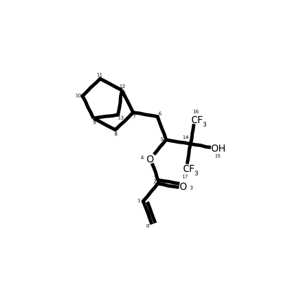 C=CC(=O)OC(CC1CC2CCC1C2)C(O)(C(F)(F)F)C(F)(F)F